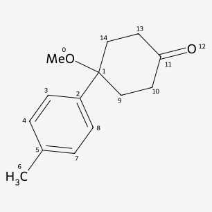 COC1(c2ccc(C)cc2)CCC(=O)CC1